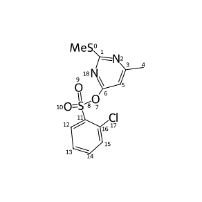 CSc1nc(C)cc(OS(=O)(=O)c2ccccc2Cl)n1